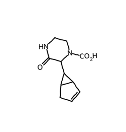 O=C1NCCN(C(=O)O)C1C1C2C=CCC21